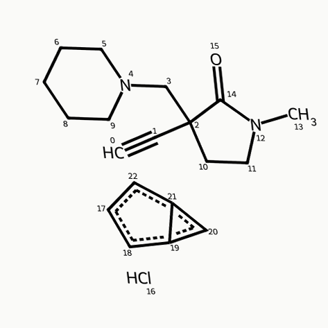 C#CC1(CN2CCCCC2)CCN(C)C1=O.Cl.c1cc2cc-2c1